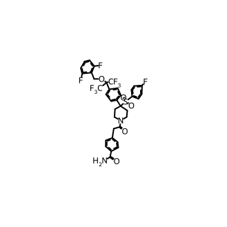 NC(=O)c1ccc(CC(=O)N2CCC(c3ccc(C(OCc4c(F)cccc4F)(C(F)(F)F)C(F)(F)F)cc3)(S(=O)(=O)c3ccc(F)cc3)CC2)cc1